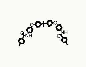 Cc1ccc(C(=O)Nc2ccc(Oc3ccc(C(C)(C)c4ccc(Oc5ccc(NC(=O)c6ccc(C)cc6)cc5)cc4)cc3)cc2)cc1